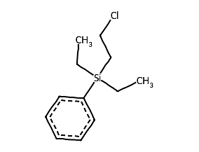 CC[Si](CC)(CCCl)c1ccccc1